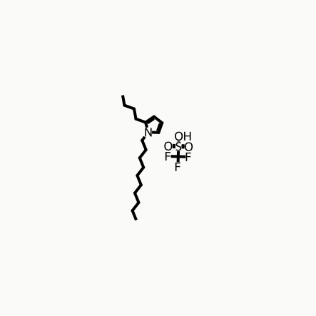 CCCCCCCCCCn1cccc1CCCC.O=S(=O)(O)C(F)(F)F